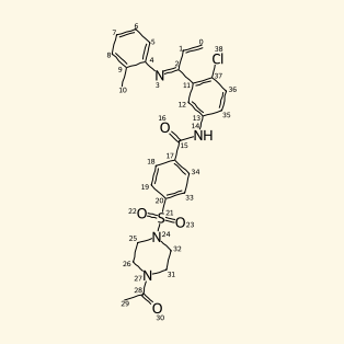 C=C/C(=N\c1ccccc1C)c1cc(NC(=O)c2ccc(S(=O)(=O)N3CCN(C(C)=O)CC3)cc2)ccc1Cl